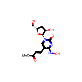 COC(=O)/C=C/c1cn([C@@H]2O[C@H](CO)C[C@H]2O)c(=O)nc1NO